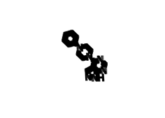 c1ccc(N2CCN(c3ncnc4[nH]ncc34)CC2)cc1